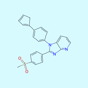 CS(=O)(=O)c1ccc(-c2nc3ncccc3n2-c2ccc(C3=CC=CC3)cc2)cc1